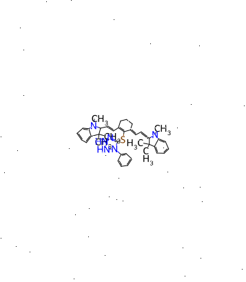 CN1/C(=C/C=C2\CCCC(/C=C/C3N(C)c4ccccc4C3(C)C)=C2SC2=NNNN2c2ccccc2)C(C)(C)c2ccccc21